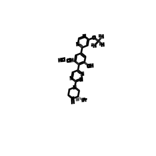 Cl.Cl.[2H]C([2H])([2H])Oc1cc(-c2ccc(-c3cnc(N4CCN[C@@H](C(C)C)C4)nn3)c(O)c2)ncn1